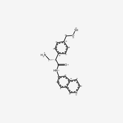 NC[C@@H](C(=O)Nc1ccc2cnccc2c1)c1ccc(COS)cc1